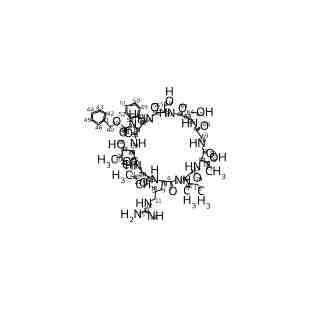 CC[C@H](C)[C@@H]1NC(=O)[C@@H](CCCNC(=N)N)NC(=O)[C@H](C(C)C)NC(=O)[C@H]([C@H](O)C(C)C)NC(=O)[C@@H](NC(=O)OCc2ccccc2)[C@@H](c2ccccc2)NC(=O)C(CO)NC(=O)[C@H](CO)NC(=O)CNC(=O)[C@H]([C@H](C)O)NC1=O